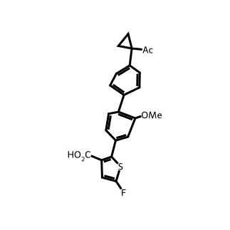 COc1cc(-c2sc(F)cc2C(=O)O)ccc1-c1ccc(C2(C(C)=O)CC2)cc1